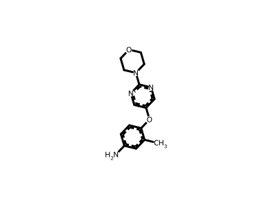 Cc1cc(N)ccc1Oc1cnc(N2CCOCC2)nc1